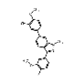 COc1cc(-c2nn(C)c3cc(-c4ccc(OC)c(Cl)c4)ccc23)ccc1F